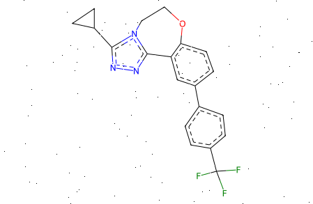 FC(F)(F)c1ccc(-c2ccc3c(c2)-c2nnc(C4CC4)n2CCO3)cc1